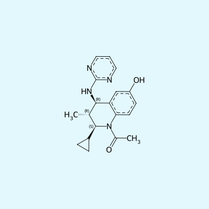 CC(=O)N1c2ccc(O)cc2[C@H](Nc2ncccn2)[C@@H](C)[C@@H]1C1CC1